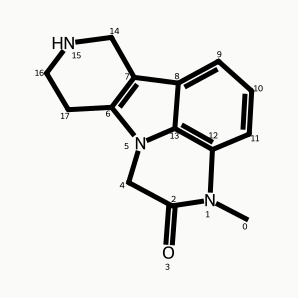 CN1C(=O)Cn2c3c(c4cccc1c42)CNCC3